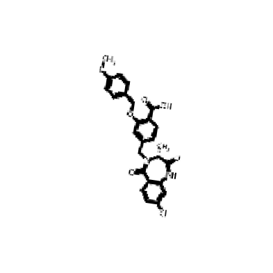 COc1ccc(COc2cc(CN3C(=O)c4ccc(Cl)cc4NC(=O)[C@H]3C)ccc2C(=O)O)cc1